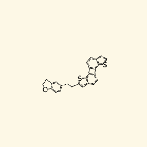 c1cc2ccc3c(c2s1)-c1ccc2cc(CCc4ccc5c(c4)CCO5)sc2c1-3